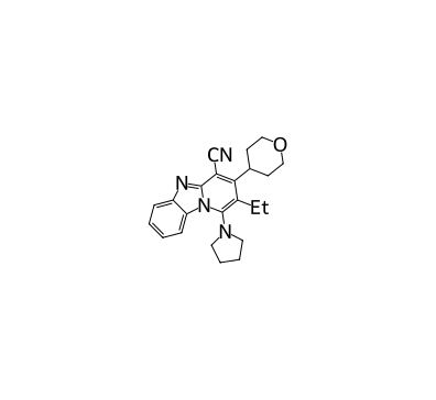 CCc1c(C2CCOCC2)c(C#N)c2nc3ccccc3n2c1N1CCCC1